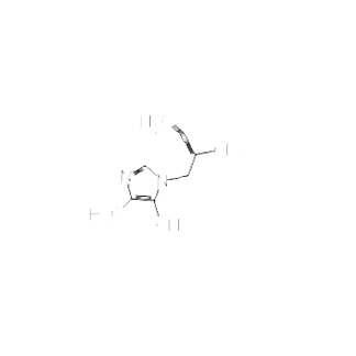 C=C=C(C)Cn1cnc(C)c1C